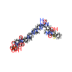 COc1ncc(-c2ccnc(N3CCc4c(sc5c4CCCC5)C3=O)c2C(C)O)cc1Nc1ccc(N2CCN(C3CCN(c4ccc5c(c4)C(=O)N([C@H]4CCC(=O)N(C(C)OP(=O)(O)O)C4=O)C5=O)[C@H](C)C3)C[C@@H]2C)cn1